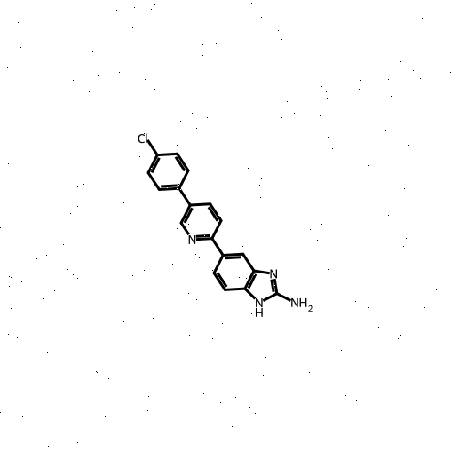 Nc1nc2cc(-c3ccc(-c4ccc(Cl)cc4)cn3)ccc2[nH]1